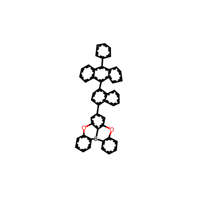 c1ccc(-c2c3ccccc3c(-c3ccc(-c4cc5c6c(c4)Oc4ccccc4B6c4ccccc4O5)c4ccccc34)c3ccccc23)cc1